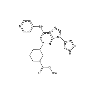 CC(C)(C)OC(=O)N1CCCC(c2cc(Nc3ccncc3)n3ncc(-c4cn[nH]c4)c3n2)C1